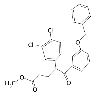 COC(=O)CCC(C(=O)c1cccc(OCc2ccccc2)c1)c1ccc(Cl)c(Cl)c1